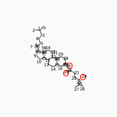 CC(C)CCC[C@@H](C)[C@H]1CCC2C3CCC4C[C@H](OC(=O)CCC(=O)C(C)C)CC[C@]4(C)C3CC[C@@]21C